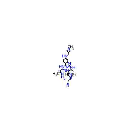 C/C(N)=C/C(=N)Nc1nc(N[C@@H]2C[C@H]3CC(CCC#N)C[C@@H](C2)N3)nc2cc(NCC3CN(C)C3)ccc12